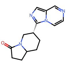 O=C1CCC2CC[C@@H](c3ncc4cnccn34)CN12